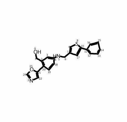 OCc1cc(NCc2csc(-c3ccccc3)c2)ccc1-c1cnco1